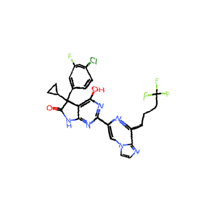 O=C1Nc2nc(-c3cn4ccnc4c(CCCC(F)(F)F)n3)nc(O)c2C1(c1ccc(Cl)c(F)c1)C1CC1